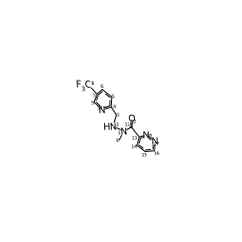 CN(NCc1ccc(C(F)(F)F)cn1)C(=O)c1cccnn1